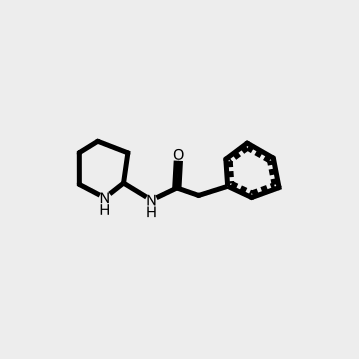 O=C(Cc1ccccc1)NC1CCCCN1